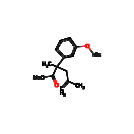 C=C(C)CC(C)(C(=O)OC)c1cccc(OCCCC)c1